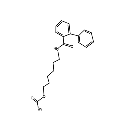 CC(C)C(=O)OCCCCCCNC(=O)c1ccccc1-c1ccccc1